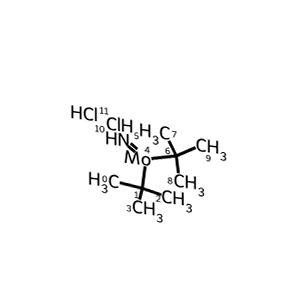 C[C](C)(C)[Mo](=[NH])[C](C)(C)C.Cl.Cl